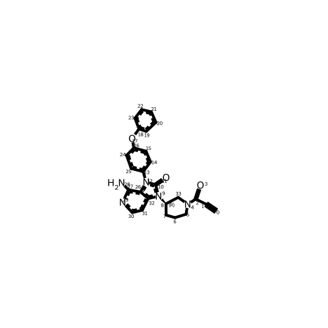 C#CC(=O)N1CCC[C@@H](n2c(=O)n(-c3ccc(Oc4ccccc4)cc3)c3c(N)nccc32)C1